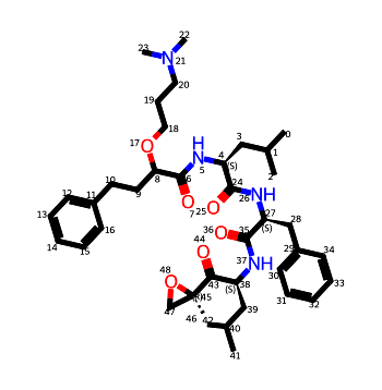 CC(C)C[C@H](NC(=O)C(CCc1ccccc1)OCCCN(C)C)C(=O)N[C@@H](Cc1ccccc1)C(=O)N[C@@H](CC(C)C)C(=O)[C@@]1(C)CO1